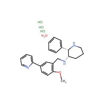 COc1ccc(-c2ccccn2)cc1CN[C@H]1CCCN[C@H]1c1ccccc1.Cl.Cl.Cl.O